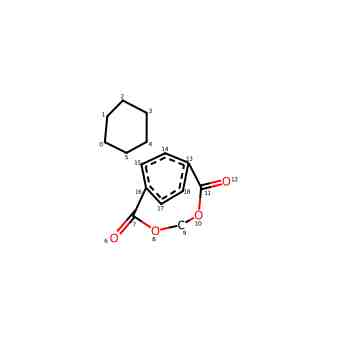 C1CCCCC1.O=C1OCOC(=O)c2ccc1cc2